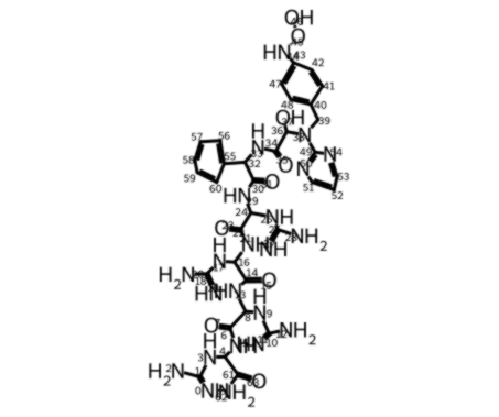 N=C(N)NC(NC(=O)C(NC(=N)N)NC(=O)C(NC(=N)N)NC(=O)C(NC(=N)N)NC(=O)C(NC(=O)C(O)N(Cc1ccc(NOO)cc1)c1ncccn1)c1ccccc1)C(N)=O